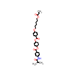 C=CC(=O)OCCCCCCOc1ccc(C(=O)OC2=CC=C(OC(=O)c3ccc(NC(=O)C(=C)C)cc3)CC2)cc1